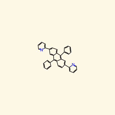 c1ccc(-c2c3ccc(-c4ccccn4)cc3c(-c3ccccc3)c3ccc(-c4ccccn4)cc23)cc1